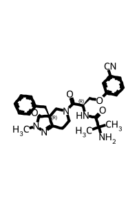 CN1N=C2CCN(C(=O)[C@@H](COc3cccc(C#N)c3)NC(=O)C(C)(C)N)C[C@@]2(Cc2ccccc2)C1=O